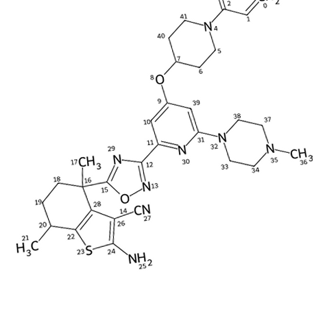 C=CC(=O)N1CCC(Oc2cc(-c3noc(C4(C)CCC(C)c5sc(N)c(C#N)c54)n3)nc(N3CCN(C)CC3)c2)CC1